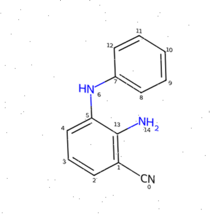 N#Cc1cccc(Nc2ccccc2)c1N